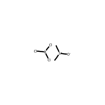 C[S+](C)[O-].ClB(Cl)Cl